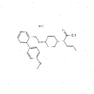 CCCC(C(=O)O)N1CCC(OCc2ccccc2-c2ccc(OC)cc2)CC1.Cl